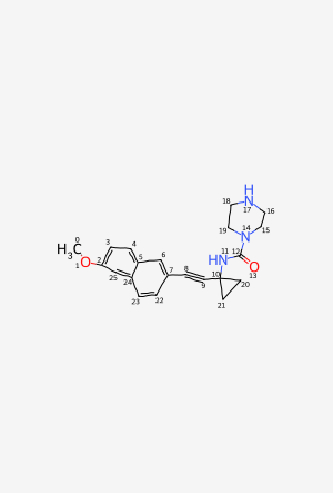 COc1ccc2cc(C#CC3(NC(=O)N4CCNCC4)CC3)ccc2c1